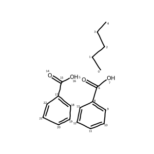 CCCCC.O=C(O)c1ccccc1.O=C(O)c1ccccc1